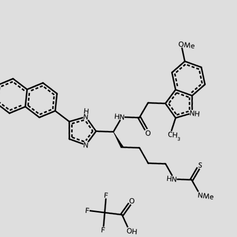 CNC(=S)NCCCC[C@H](NC(=O)Cc1c(C)[nH]c2ccc(OC)cc12)c1ncc(-c2ccc3ccccc3c2)[nH]1.O=C(O)C(F)(F)F